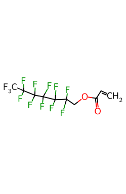 C=CC(=O)OCC(F)(F)C(F)(F)C(F)(F)C(F)(F)C(F)(F)C(F)(F)F